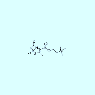 CC1=C(C(=O)OCC[Si](C)(C)C)N2C(=O)C[C@@H]2S1